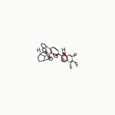 O=C(Nc1cc(F)c(F)c(F)c1)c1ccc(Cl)c(S(=O)(=O)C2C3CC[C@H]2C[C@H](COCc2ccccn2)C3)c1